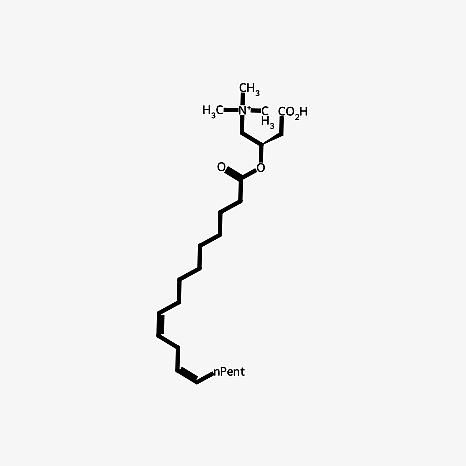 CCCCC/C=C\C/C=C\CCCCCCCC(=O)O[C@H](CC(=O)O)C[N+](C)(C)C